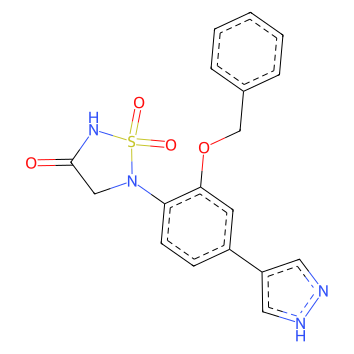 O=C1CN(c2ccc(-c3cn[nH]c3)cc2OCc2ccccc2)S(=O)(=O)N1